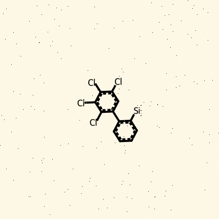 [Si]c1ccccc1-c1cc(Cl)c(Cl)c(Cl)c1Cl